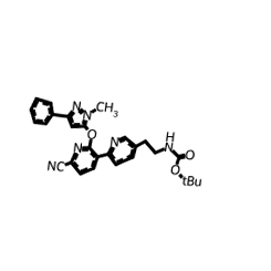 Cn1nc(-c2ccccc2)cc1Oc1nc(C#N)ccc1-c1ccc(CCNC(=O)OC(C)(C)C)cn1